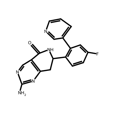 Nc1ncc2c(n1)CC(c1ccc(F)cc1-c1cccnc1)NC2=O